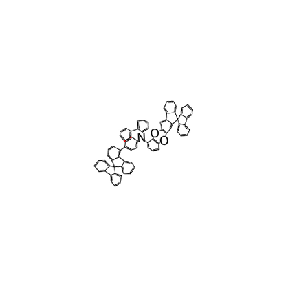 c1ccc(-c2ccccc2N(c2ccc(-c3cccc4c3-c3ccccc3C43c4ccccc4-c4ccccc43)cc2)c2cccc3c2Oc2cc4c(cc2O3)C2(c3ccccc3-c3ccccc32)c2ccccc2-4)cc1